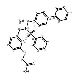 O=C(O)COc1cccc(CN(Cc2ccc(-c3ccccn3)cc2)S(=O)(=O)c2ccccc2)c1.[NaH]